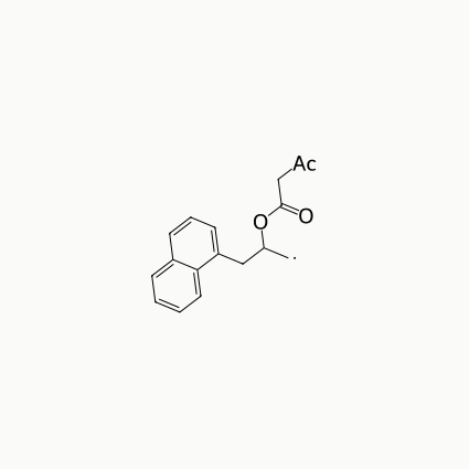 [CH2]C(Cc1cccc2ccccc12)OC(=O)CC(C)=O